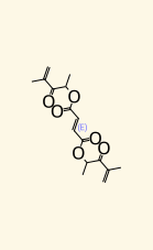 C=C(C)C(=O)C(C)OC(=O)/C=C/C(=O)OC(C)C(=O)C(=C)C